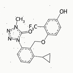 Cn1nnn(-c2cccc(C3CC3)c2COc2ccc(O)cc2C(F)(F)F)c1=O